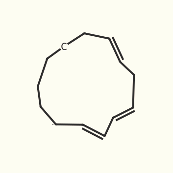 [CH]1/C=C/C=C/C/C=C/CCCCC1